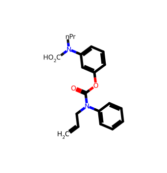 C=CCN(C(=O)Oc1cccc(N(CCC)C(=O)O)c1)c1ccccc1